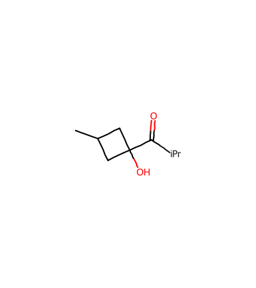 CC1CC(O)(C(=O)C(C)C)C1